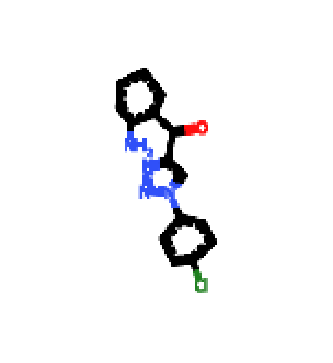 Nc1ccccc1C(=O)c1cn(-c2ccc(Cl)cc2)nn1